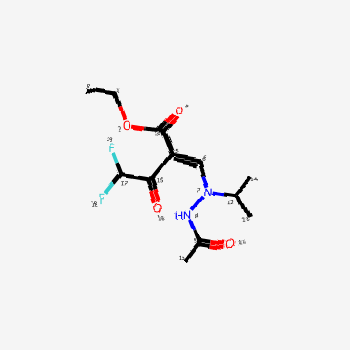 CCOC(=O)C(=CN(NC(C)=O)C(C)C)C(=O)C(F)F